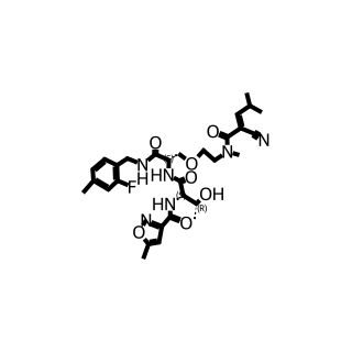 Cc1ccc(CNC(=O)[C@H](COCCN(C)C(=O)C(C#N)=CC(C)C)NC(=O)[C@@H](NC(=O)c2cc(C)on2)[C@@H](C)O)c(F)c1